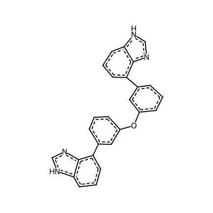 c1cc(Oc2cccc(-c3cccc4[nH]cnc34)c2)cc(-c2cccc3[nH]cnc23)c1